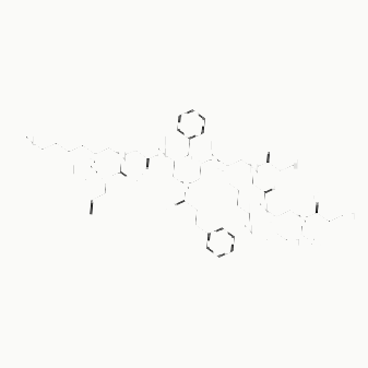 C=CCOC(=O)N(CC(=O)N[C@@H](Cc1ccccc1)CN(CC(=O)N[C@@H](CCCCN)CN(CC(=O)N[C@@H](CC(C)C)CN(CC(C)=O)C(=O)CC(C)C)C(=O)CC(C)C)C(=O)CCc1ccccc1)C[C@@H](N)CCCCN